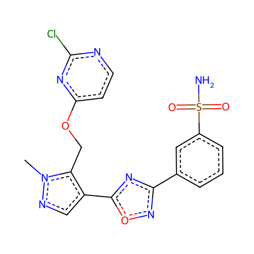 Cn1ncc(-c2nc(-c3cccc(S(N)(=O)=O)c3)no2)c1COc1ccnc(Cl)n1